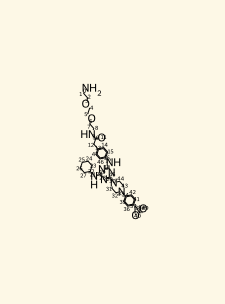 NCCOCCOCCNC(=O)Cc1ccc(Nc2nc(NC3CCCCC3)nc(N3CCN(c4ccc([N+](=O)[O-])cc4)CC3)n2)cc1